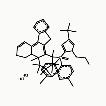 Cl.Cl.[CH2]=[Zr]([C]1=CC(C(C)(C)C)=CC1CCC)([c]1ccc(C)cc1)([c]1ccc(C)cc1)[C]1(C)C2=C3Cc4ccccc4C3=C3C=CCCC3C2(C)C(C)(C)C(C)(C)C1(C)C